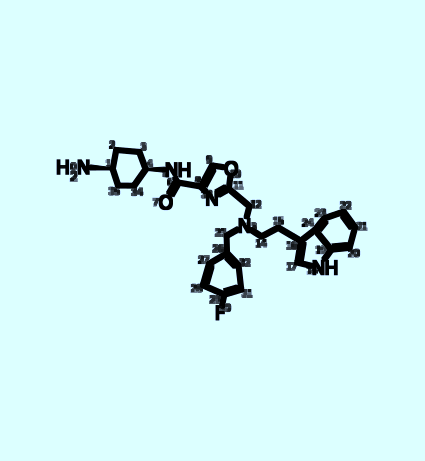 N[C@H]1CC[C@@H](NC(=O)c2coc(CN(CCc3c[nH]c4ccccc34)Cc3ccc(F)cc3)n2)CC1